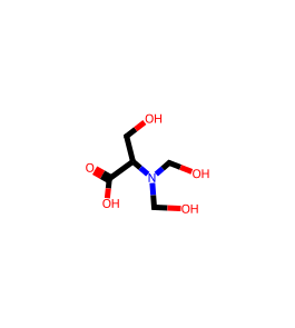 O=C(O)C(CO)N(CO)CO